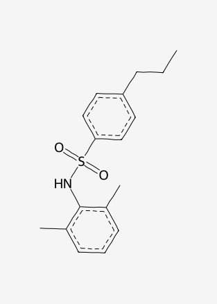 CCCc1ccc(S(=O)(=O)Nc2c(C)cccc2C)cc1